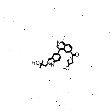 COC1CN(C(=O)c2ccc3cncc(-c4ccc5nn(CC(C)(C)O)cc5c4)c3c2)C1